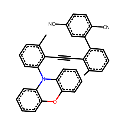 Cc1cccc(-c2cc(C#N)ccc2C#N)c1C#Cc1c(C)cccc1N1c2ccccc2Oc2ccccc21